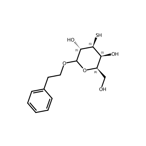 OC[C@H]1OC(OCCc2ccccc2)[C@H](O)[C@@H](S)[C@H]1O